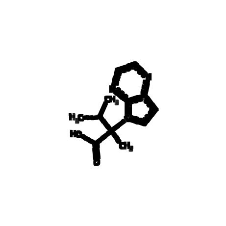 CC(C)C(C)(C(=O)O)n1ccc2nccnc21